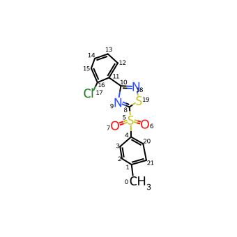 Cc1ccc(S(=O)(=O)c2nc(-c3ccccc3Cl)ns2)cc1